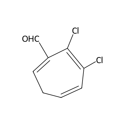 O=CC1=CCC=CC(Cl)=C1Cl